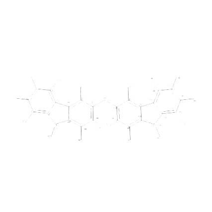 Cc1c(C)c(C)c2c(c1C)c1c(C)c(Cc3c(C)c(C)c4c(c3C)c3c(C)c(C)c(C)c(C)c3n4C)c(C)c(C)c1n2C